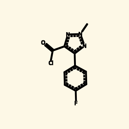 Cn1nc(C(=O)Cl)c(-c2ccc(F)cc2)n1